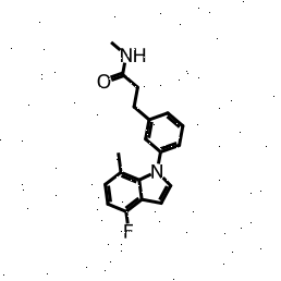 CNC(=O)CCc1cccc(-n2ccc3c(F)ccc(C)c32)c1